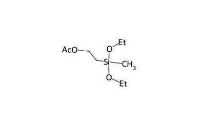 CCO[Si](C)(CCOC(C)=O)OCC